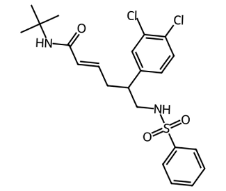 CC(C)(C)NC(=O)C=CCC(CNS(=O)(=O)c1ccccc1)c1ccc(Cl)c(Cl)c1